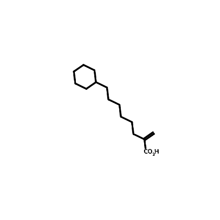 C=C(CCCCCCC1CCCCC1)C(=O)O